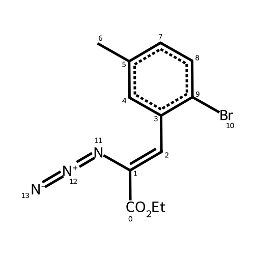 CCOC(=O)C(=Cc1cc(C)ccc1Br)N=[N+]=[N-]